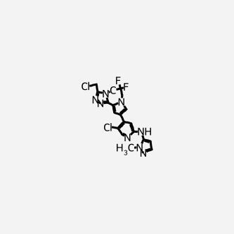 Cn1nccc1Nc1cc(-c2cc3n(c2)CC(F)(F)Cn2c(CCl)nnc2-3)c(Cl)cn1